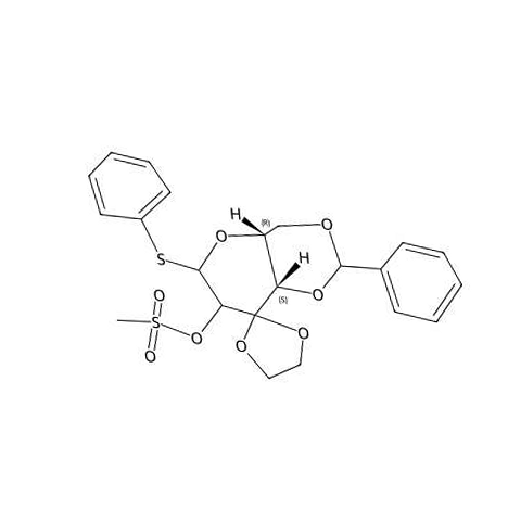 CS(=O)(=O)OC1C(Sc2ccccc2)O[C@@H]2COC(c3ccccc3)O[C@@H]2C12OCCO2